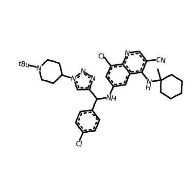 CC1(Nc2c(C#N)cnc3c(Cl)cc(NC(c4ccc(Cl)cc4)c4cn(C5CCN(C(C)(C)C)CC5)nn4)cc23)CCCCC1